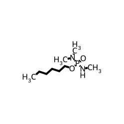 CCCCCCOP(=O)(NC)N(C)C